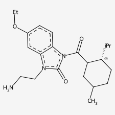 CCOc1ccc2c(c1)n(CCN)c(=O)n2C(=O)C1CC(C)CC[C@H]1C(C)C